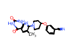 Cc1cc2c(=O)[nH]c(=O)[nH]c2nc1N1CCC(Oc2cccc(C#N)c2)CC1